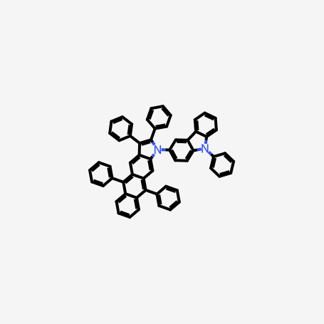 c1ccc(-c2c3ccccc3c(-c3ccccc3)c3cc4c(cc23)c(-c2ccccc2)c(-c2ccccc2)n4-c2ccc3c(c2)c2ccccc2n3-c2ccccc2)cc1